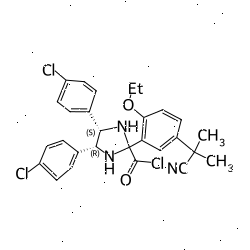 CCOc1ccc(C(C)(C)C#N)cc1C1(C(=O)Cl)N[C@H](c2ccc(Cl)cc2)[C@H](c2ccc(Cl)cc2)N1